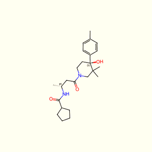 Cc1ccc([C@@]2(O)CCN(C(=O)C[C@@H](C)NC(=O)C3CCCC3)CC2(C)C)cc1